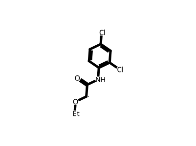 CCO[CH]C(=O)Nc1ccc(Cl)cc1Cl